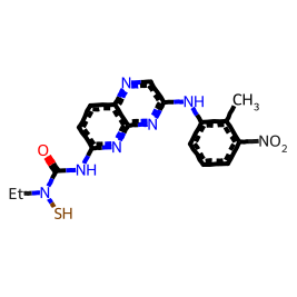 CCN(S)C(=O)Nc1ccc2ncc(Nc3cccc([N+](=O)[O-])c3C)nc2n1